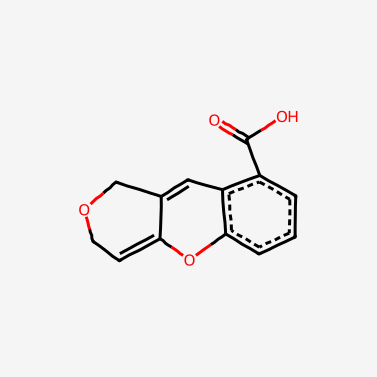 O=C(O)c1cccc2c1C=C1COCC=C1O2